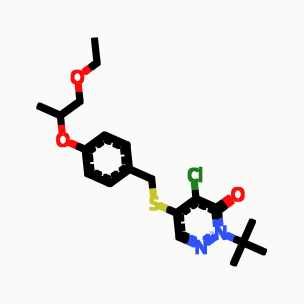 CCOCC(C)Oc1ccc(CSc2cnn(C(C)(C)C)c(=O)c2Cl)cc1